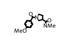 CNC(=O)C1CCN(C(=O)c2ccc(OC)cc2)C1